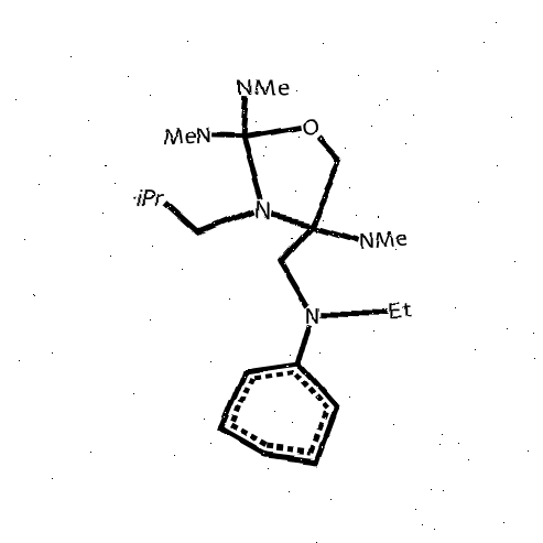 CCN(CC1(NC)COC(NC)(NC)N1C[C](C)C)c1ccccc1